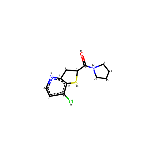 O=C(C1Cc2nccc(Cl)c2S1)N1CCCC1